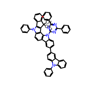 CC1(C)c2ccccc2-c2c1c1c(ccc3c4cc(-c5ccc6c(c5)c5ccccc5n6-c5ccccc5)ccc4n(-c4nc(-c5ccccc5)nc(-c5ccccc5)n4)c31)n2-c1ccccc1